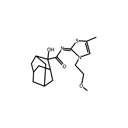 COCCn1cc(C)sc1=NC(=O)C1(O)C2CC3CC(C2)CC1C3